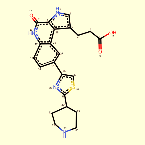 O=C(O)CCc1c[nH]c2c(=O)[nH]c3ccc(-c4csc(C5CCNCC5)n4)cc3c12